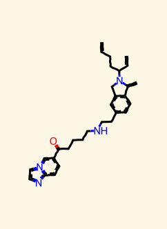 C=CCCC(C=C)N1Cc2cc(CCNCCCCC(=O)c3ccc4nccn4c3)ccc2C1=C